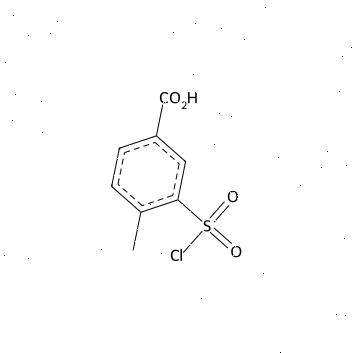 Cc1ccc(C(=O)O)cc1S(=O)(=O)Cl